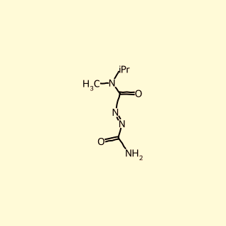 CC(C)N(C)C(=O)N=NC(N)=O